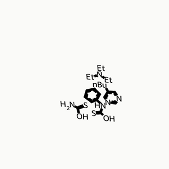 CCCCc1cncnc1.CCN(CC)CC.NC(O)=S.OC(=S)Nc1ccccc1